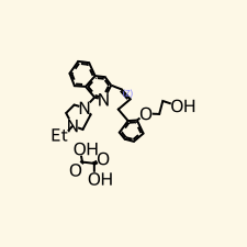 CCN1CCN(c2nc(/C=C\Cc3ccccc3OCCO)cc3ccccc23)CC1.O=C(O)C(=O)O